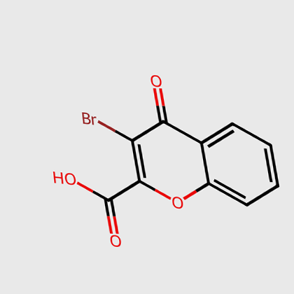 O=C(O)c1oc2ccccc2c(=O)c1Br